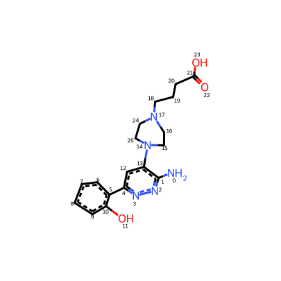 Nc1nnc(-c2ccccc2O)cc1N1CCN(CCCC(=O)O)CC1